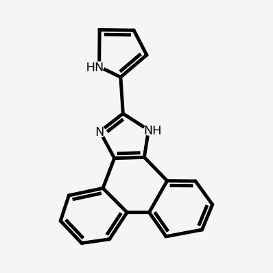 c1c[nH]c(-c2nc3c4ccccc4c4ccccc4c3[nH]2)c1